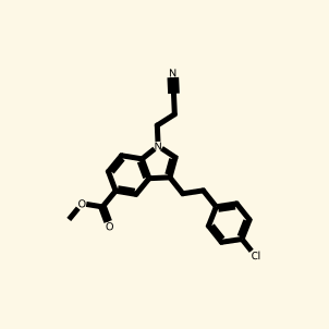 COC(=O)c1ccc2c(c1)c(CCc1ccc(Cl)cc1)cn2CCC#N